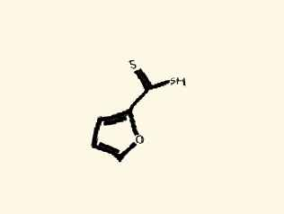 S=C(S)c1ccco1